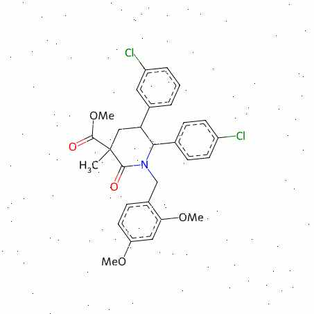 COC(=O)C1(C)CC(c2cccc(Cl)c2)C(c2ccc(Cl)cc2)N(Cc2ccc(OC)cc2OC)C1=O